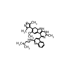 COC1=C(c2c(C)noc2C)CC2NC3=C(C2=C1)C(c1cc(NCCN(C)C)nc2ccccc12)=NC(C)N3